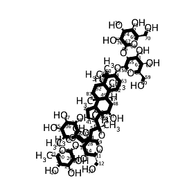 CC(C)=CCC[C@](C)(O[C@@H]1O[C@H](CO)[C@@H](O)[C@H](O[C@@H]2O[C@@H](C)[C@H](O)[C@@H](O)[C@H]2O)[C@H]1O[C@@H]1O[C@@H](C)[C@H](O)[C@@H](O)[C@H]1O)[C@H]1CC[C@]2(C)[C@@H]1[C@H](O)C[C@@H]1[C@@]3(C)CC[C@H](O[C@@H]4O[C@H](CO)[C@@H](O)[C@H](O)[C@H]4O[C@@H]4O[C@H](CO)[C@@H](O)[C@H](O)[C@H]4O)C(C)(C)[C@@H]3CC[C@]12C